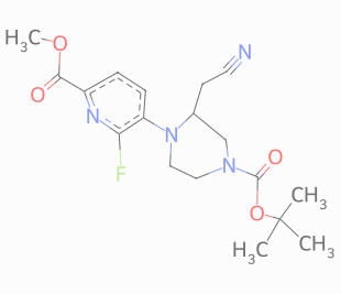 COC(=O)c1ccc(N2CCN(C(=O)OC(C)(C)C)CC2CC#N)c(F)n1